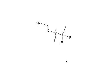 FC(F)(F)COC(F)(F)C(F)(F)Cl